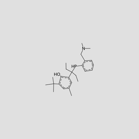 CCC(CC)(Pc1ccccc1CN(C)C)c1cc(C)cc(C(C)(C)C)c1O